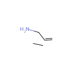 C=CCN.CC